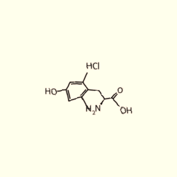 Cc1cc(O)cc(C)c1C[C@H](N)C(=O)O.Cl